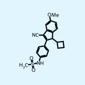 COc1ccc2c(c1)C(C#N)=C(c1ccc(NS(C)(=O)=O)cc1)C2C1CCC1